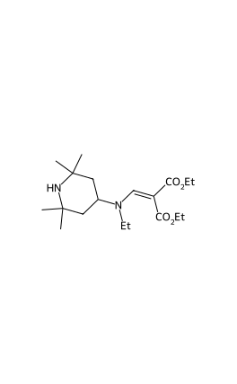 CCOC(=O)C(=CN(CC)C1CC(C)(C)NC(C)(C)C1)C(=O)OCC